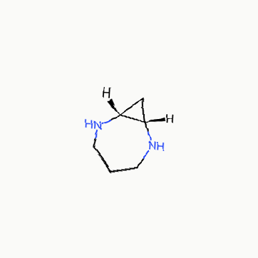 C1CN[C@H]2C[C@H]2NC1